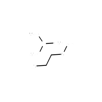 CCCNCCN.CO[Si](OC)OC